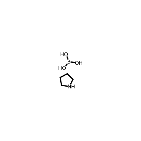 C1CCNC1.OB(O)O